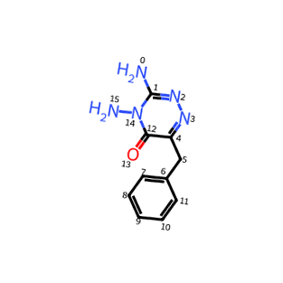 Nc1nnc(Cc2ccccc2)c(=O)n1N